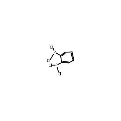 ClP(Cl)c1ccccc1P(Cl)Cl